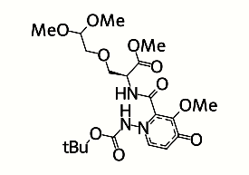 COC(=O)[C@H](COCC(OC)OC)NC(=O)c1c(OC)c(=O)ccn1NC(=O)OC(C)(C)C